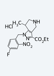 CCOC(=O)c1nn(Cc2ccc(F)cc2[N+](=O)[O-])c2c1CNCC2C.Cl